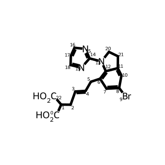 O=C(O)C(CC=CCc1cc(Br)cc2c1N(c1ncccn1)CC2)C(=O)O